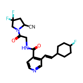 N#CC1CC(F)(F)CN1C(=O)CNC(=O)c1ccncc1/C=C/C1CCC(F)CC1